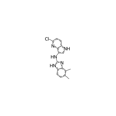 Cc1ccc2[nH]c(Nc3c[nH]c4ccc(Cl)nc34)nc2c1C